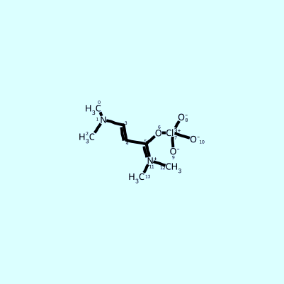 CN(C)C=CC(O[Cl+3]([O-])([O-])[O-])=[N+](C)C